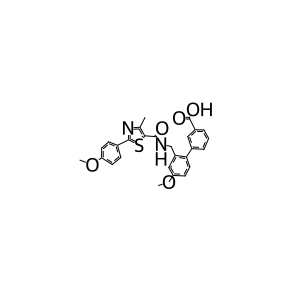 COc1ccc(-c2nc(C)c(C(=O)NCc3cc(OC)ccc3-c3cccc(C(=O)O)c3)s2)cc1